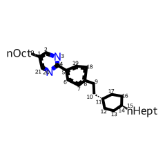 CCCCCCCCc1cnc(-c2ccc(CC[C@H]3CC[C@H](CCCCCCC)CC3)cc2)nc1